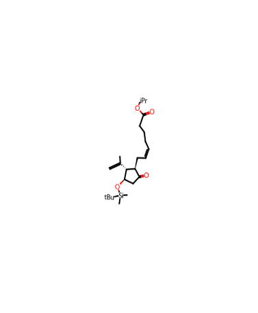 C=C(C)[C@H]1[C@H](O[Si](C)(C)C(C)(C)C)CC(=O)[C@@H]1C/C=C\CCCC(=O)OC(C)C